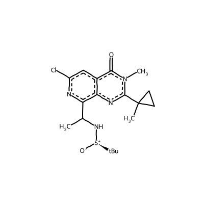 CC(N[S@+]([O-])C(C)(C)C)c1nc(Cl)cc2c(=O)n(C)c(C3(C)CC3)nc12